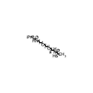 CC(C)OCC(=O)NCCCOCCCOCC(F)CNC(=O)C(C)S